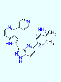 C=C/C(N)=C\C(=C/C)c1ccc2[nH]nc(-c3cc4c(-c5ccncc5)nccc4[nH]3)c2n1